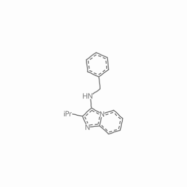 CC(C)c1nc2ccccn2c1NCc1ccccc1